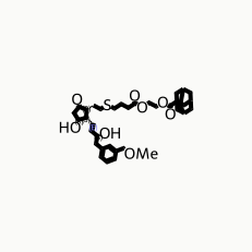 COCc1cccc(C[C@H](O)/C=C/[C@@H]2[C@H](O)CC(=O)[C@@H]2CCSCCCC(=O)OCCOC(=O)C23CC4CC(CC(C4)C2)C3)c1